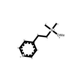 CO[Si](C)(C)CCc1ccncc1